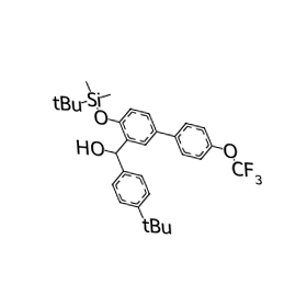 CC(C)(C)c1ccc(C(O)c2cc(-c3ccc(OC(F)(F)F)cc3)ccc2O[Si](C)(C)C(C)(C)C)cc1